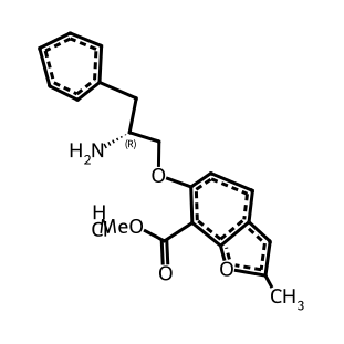 COC(=O)c1c(OC[C@H](N)Cc2ccccc2)ccc2cc(C)oc12.Cl